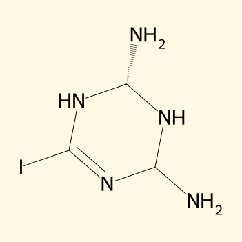 NC1N=C(I)N[C@H](N)N1